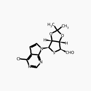 CC1(C)O[C@@H]2[C@H](O1)[C@@H](C=O)S[C@H]2n1ccc2c(Cl)ncnc21